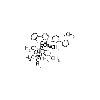 C=CCOc1c([Si](C)(C)C2c3cc(-c4ccccc4CC)ccc3-c3ccc(-c4ccccc4CC)cc32)cc(C)cc1[Si](C)(C)C(C)(C)C